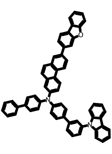 c1ccc(-c2ccc(N(c3ccc(-c4cccc(-n5c6ccccc6c6ccccc65)c4)cc3)c3ccc4c(ccc5cc(-c6ccc7c(c6)oc6ccccc67)ccc54)c3)cc2)cc1